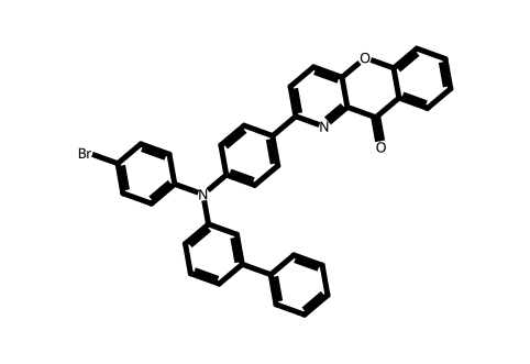 O=c1c2ccccc2oc2ccc(-c3ccc(N(c4ccc(Br)cc4)c4cccc(-c5ccccc5)c4)cc3)nc12